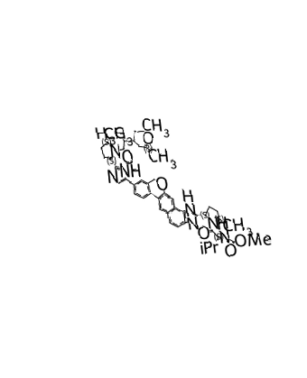 COC(=O)N[C@H](C(=O)N1[C@@H](C)CC[C@H]1c1nc2ccc3cc4c(cc3c2[nH]1)OCc1cc(-c2cnc([C@@H]3CC[C@H](C)N3C(=O)C(C)C3CC(C)O[C@H](C)C3)[nH]2)ccc1-4)C(C)C